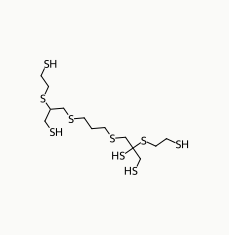 SCCSC(CS)CSCCCSCC(S)(CS)SCCS